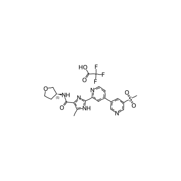 Cc1[nH]c(-c2cc(-c3cncc(S(C)(=O)=O)c3)ccn2)nc1C(=O)N[C@H]1CCOC1.O=C(O)C(F)(F)F